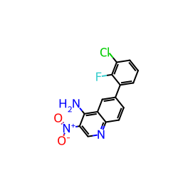 Nc1c([N+](=O)[O-])cnc2ccc(-c3cccc(Cl)c3F)cc12